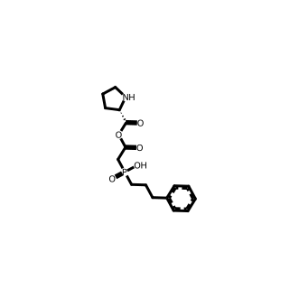 O=C(CP(=O)(O)CCCc1ccccc1)OC(=O)[C@@H]1CCCN1